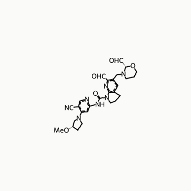 CO[C@H]1CCN(c2cc(NC(=O)N3CCCc4cc(CN5CCCO[C@H]5C=O)c(C=O)nc43)ncc2C#N)C1